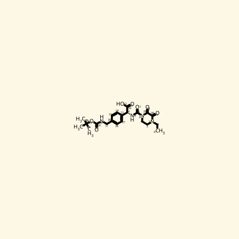 CCN1CCN(C(=O)N[C@@H](C(=O)O)c2ccc(CNC(=O)OC(C)(C)C)cc2)C(=O)C1=O